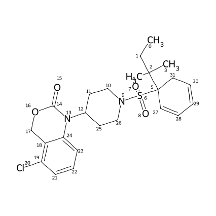 CCC(C)(C)C1(S(=O)(=O)N2CCC(N3C(=O)OCc4c(Cl)cccc43)CC2)C=CC=CC1